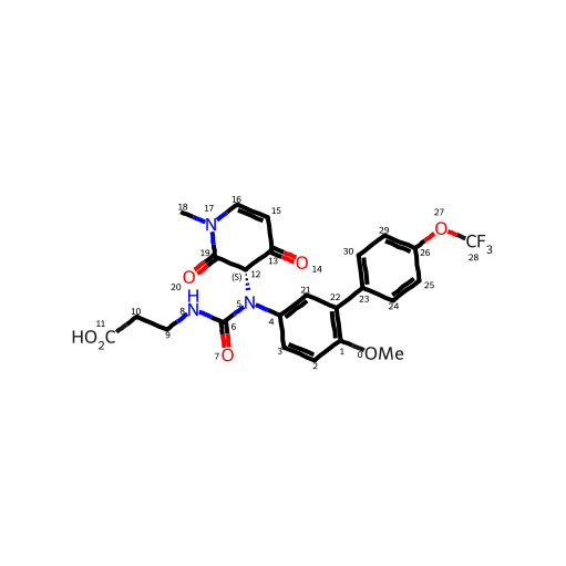 COc1ccc(N(C(=O)NCCC(=O)O)[C@H]2C(=O)C=CN(C)C2=O)cc1-c1ccc(OC(F)(F)F)cc1